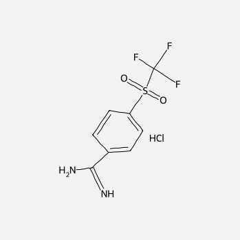 Cl.N=C(N)c1ccc(S(=O)(=O)C(F)(F)F)cc1